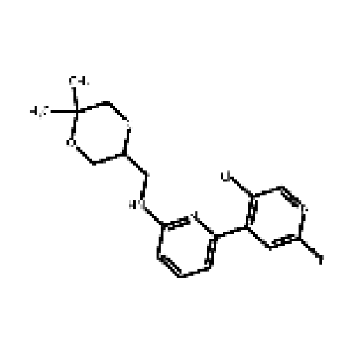 CC1(C)COC(CNc2cccc(-c3cc(F)ncc3Cl)n2)CO1